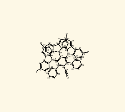 Cc1ccc2c(c1)c1cc(C)ccc1n2-c1c(-c2ccccc2)c(C#N)c(-c2ccccc2)c(-n2c3ccc(C)cc3c3cc(C)ccc32)c1-n1c2ccccc2c2ccccc21